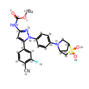 CC(C)(C)OC(=O)Nc1cc(-c2ccc(C#N)c(F)c2)n(-c2ccc(N3CC4CC3CS4(=O)=O)cc2)n1